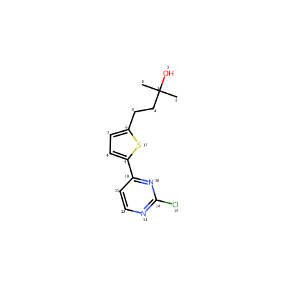 CC(C)(O)CCc1ccc(-c2ccnc(Cl)n2)s1